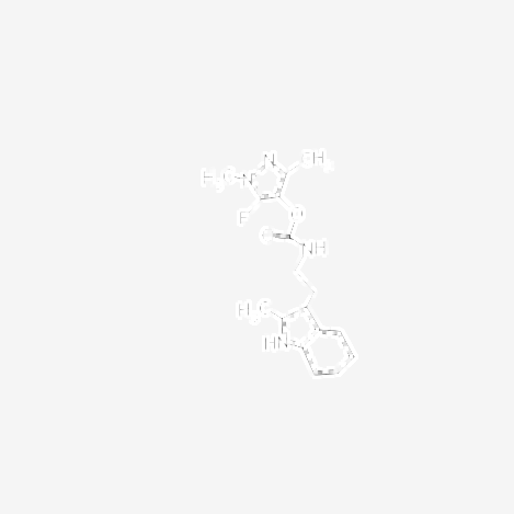 Cc1nn(C)c(F)c1OC(=O)NCCc1c(C)[nH]c2ccccc12